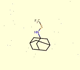 FC(F)(F)SNC12CC3CC(CC(C3)C1)C2